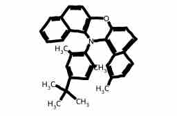 Cc1ccc2ccc3c(c2c1)N(c1c(C)cc(C(C)(C)C)cc1C)c1c(ccc2ccccc12)O3